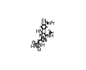 CCCN(CC)c1ccc(Nc2cc(NC3CC3)n3ncc(/C=C4\NC(=O)NC4=O)c3n2)cc1